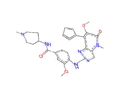 COc1cc(C(=O)NC2CCN(C)CC2)ccc1Nc1ncc2c(n1)c(C1=C=CC=C1)c(OC)c(=O)n2C